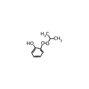 CC(C)OOc1ccccc1O